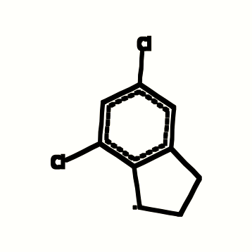 Clc1cc(Cl)c2c(c1)CC[CH]2